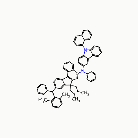 CCCC1(CCC)c2cc(C(c3ccccc3)c3c(C)cccc3C)ccc2-c2c1cc(N(c1ccccc1)c1ccc3c(c1)c1ccccc1n3-c1cccc3ccccc13)c1ccccc21